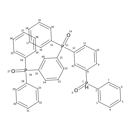 O=[PH](c1ccccc1)c1cccc(P(=O)(c2ccccc2)c2cccc(P(=O)(c3ccccc3)c3ccccc3)c2)c1